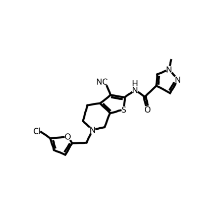 Cn1cc(C(=O)Nc2sc3c(c2C#N)CCN(Cc2ccc(Cl)o2)C3)cn1